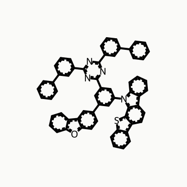 c1ccc(-c2cccc(-c3nc(-c4cccc(-c5ccccc5)c4)nc(-c4cc(-c5ccc6oc7ccccc7c6c5)cc(-n5c6ccccc6c6ccc7c8ccccc8sc7c65)c4)n3)c2)cc1